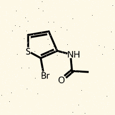 CC(=O)Nc1ccsc1Br